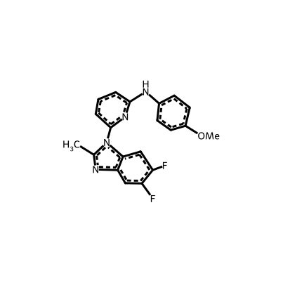 COc1ccc(Nc2cccc(-n3c(C)nc4cc(F)c(F)cc43)n2)cc1